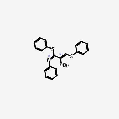 CCCCC(=C\Sc1ccccc1)/C(=N\c1ccccc1)Sc1ccccc1